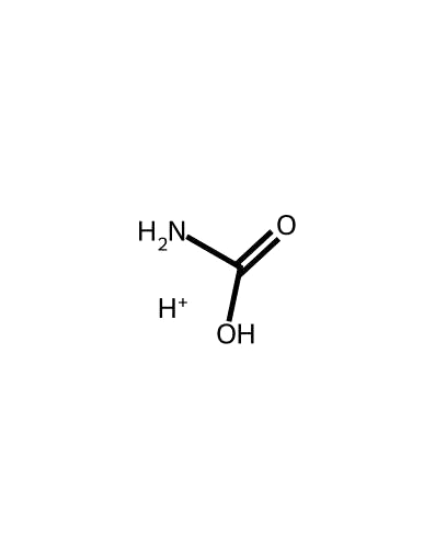 NC(=O)O.[H+]